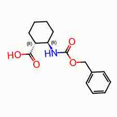 O=C(N[C@@H]1CCCC[C@H]1C(=O)O)OCc1ccccc1